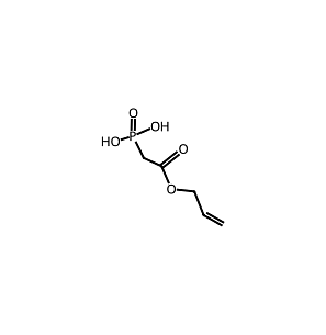 C=CCOC(=O)CP(=O)(O)O